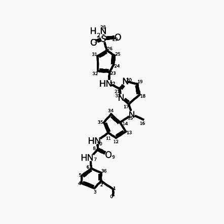 CCc1cccc(NC(=O)Nc2ccc(N(C)c3ccnc(Nc4ccc(S(N)(=O)=O)cc4)n3)cc2)c1